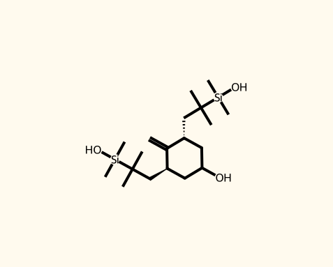 C=C1[C@H](CC(C)(C)[Si](C)(C)O)CC(O)C[C@H]1CC(C)(C)[Si](C)(C)O